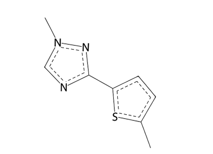 Cc1ccc(-c2ncn(C)n2)s1